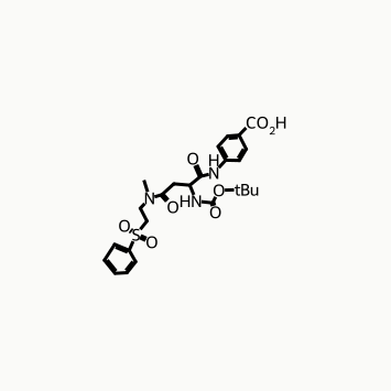 CN(CCS(=O)(=O)c1ccccc1)C(=O)CC(NC(=O)OC(C)(C)C)C(=O)Nc1ccc(C(=O)O)cc1